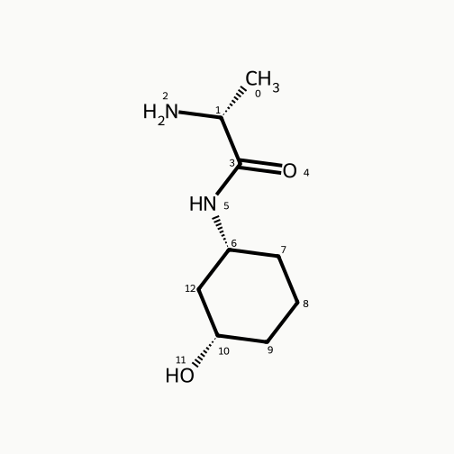 C[C@@H](N)C(=O)N[C@@H]1CCC[C@H](O)C1